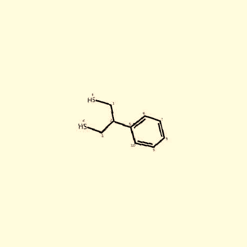 SCC(CS)c1ccccc1